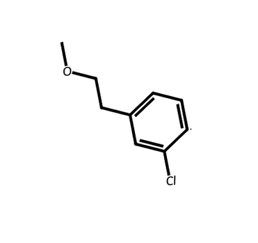 COCCc1cc[c]c(Cl)c1